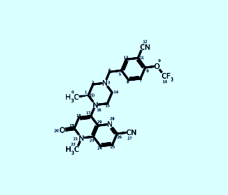 C[C@H]1CN(Cc2ccc(OC(F)(F)F)c(C#N)c2)CCN1c1cc(=O)n(C)c2ccc(C#N)nc12